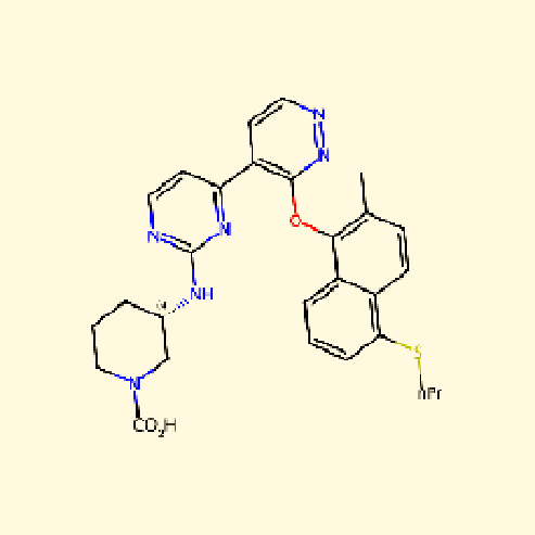 CCCSc1cccc2c(Oc3nnccc3-c3ccnc(N[C@H]4CCCN(C(=O)O)C4)n3)c(C)ccc12